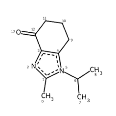 Cc1nc2c(n1C(C)C)CCCC2=O